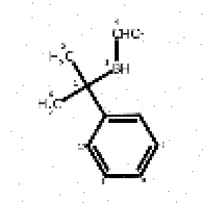 CC(C)(B[C]=O)c1ccccc1